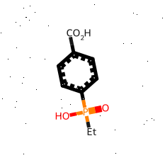 CCP(=O)(O)c1ccc(C(=O)O)cc1